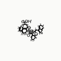 O=C(Cc1csc2ccccc12)NC(C(=O)N[C@H]1CCc2ccn3c2C1C(=O)C[C@H](C(=O)O)C3)C1CCCCC1